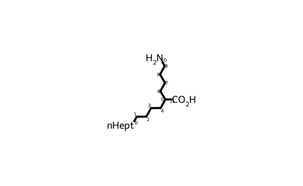 CCCCCCCCCCCC(CCCCN)C(=O)O